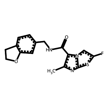 Cc1nc2sc(F)cn2c1C(=O)NCc1ccc2c(c1)OCC2